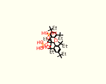 CCC(C)(C)c1cc(C(C)(C)CC)c(OC(c2c(C(C)(C)CC)cc(C(C)(C)CC)cc2C(C)(C)CC)C(CO)(COP(O)O)COP(O)O)c(C(C)(C)CC)c1